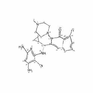 CN1CCN(n2c([C@H](Nc3nc(N)nc(N)c3C#N)C3CC3)nc3cccc(Cl)c3c2=O)CC1